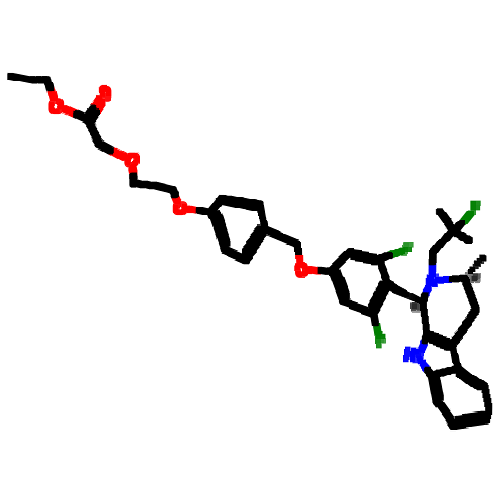 CCOC(=O)COCCOc1ccc(COc2cc(F)c([C@@H]3c4[nH]c5ccccc5c4C[C@@H](C)N3CC(C)(C)F)c(F)c2)cc1